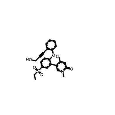 CCS(=O)(=O)c1ccc(Oc2ccccc2C#CCO)c(-c2cn(C)c(=O)cc2Cl)c1